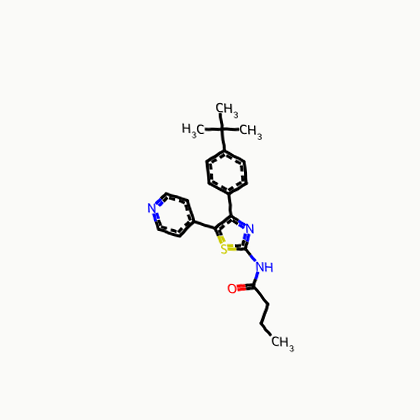 CCCC(=O)Nc1nc(-c2ccc(C(C)(C)C)cc2)c(-c2ccncc2)s1